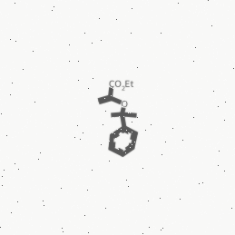 C=C(OC(C)(C)c1ccccc1)C(=O)OCC